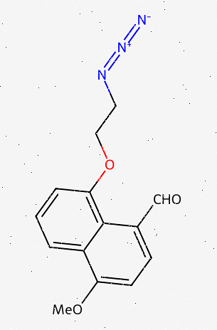 COc1ccc(C=O)c2c(OCCN=[N+]=[N-])cccc12